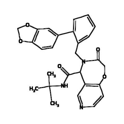 CC(C)(C)NC(=O)C1c2cnccc2OCC(=O)N1Cc1ccccc1-c1ccc2c(c1)OCO2